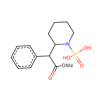 COC(=O)C(c1ccccc1)C1CCCCN1P(=O)(O)O